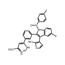 Cc1ccc([S+]([O-])n2c(-c3cccc(/C(=C/C(=N)C=O)NC(C)C)c3)c(-c3ccsc3C#N)c3cc(F)ccc32)cc1